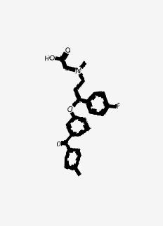 Cc1ccc(C(=O)c2cccc(OC(CCN(C)CC(=O)O)c3ccc(F)cc3)c2)cc1